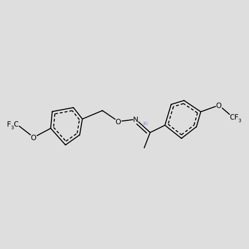 C/C(=N\OCc1ccc(OC(F)(F)F)cc1)c1ccc(OC(F)(F)F)cc1